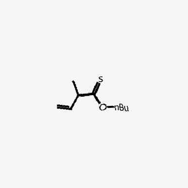 C=CC(C)C(=S)OCCCC